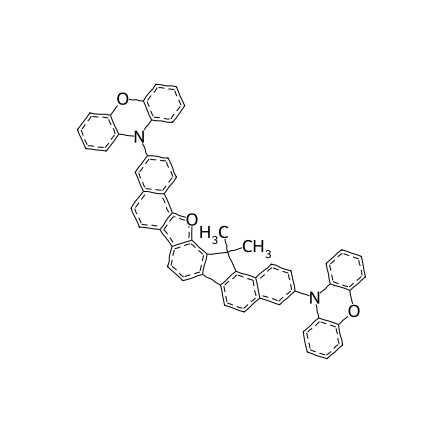 CC1(C)c2c(ccc3cc(N4c5ccccc5Oc5ccccc54)ccc23)-c2ccc3c(oc4c5ccc(N6c7ccccc7Oc7ccccc76)cc5ccc34)c21